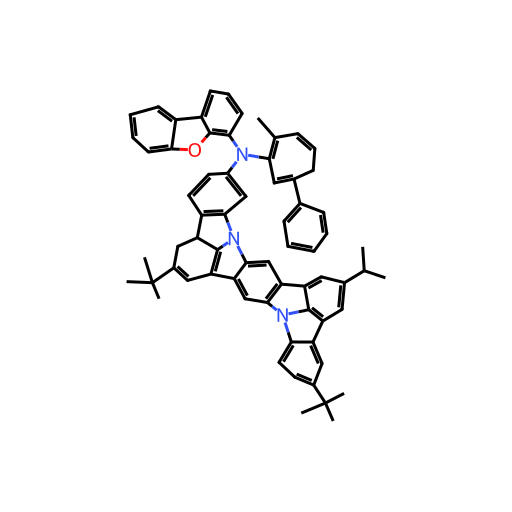 CC1=C(N(c2ccc3c(c2)-n2c4c(c5cc6c(cc52)c2cc(C(C)C)cc5c7cc(C(C)(C)C)ccc7n6c52)C=C(C(C)(C)C)CC34)c2cccc3c2oc2ccccc23)C=C(c2ccccc2)CC=C1